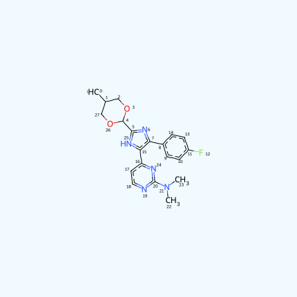 [CH]C1COC(c2nc(-c3ccc(F)cc3)c(-c3ccnc(N(C)C)n3)[nH]2)OC1